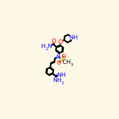 CS(=O)(=O)N(C/C=C/c1cccc(C(=N)N)c1)c1ccc(OC2CCNCC2)c(C(N)=O)c1